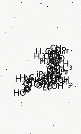 C/C=C\C[C@@H](C)[C@H](O)C(C(=O)N[C@@H](CC)C(=O)N(C)CC(=O)N(C)[C@@H](Cc1ccc(O)cc1)C(N)=O)N(C)C(=O)[C@@H](C(C)C)N(C)C(=O)[C@@H](CC(C)C)N(C)C(=O)[C@@H](CC(C)C)N(C)C(=O)[C@H](C)NC(=O)[C@H](CC(C)C)NC(=O)[C@H](C)N(C)C(=O)[C@H](C)C(C)(C)C